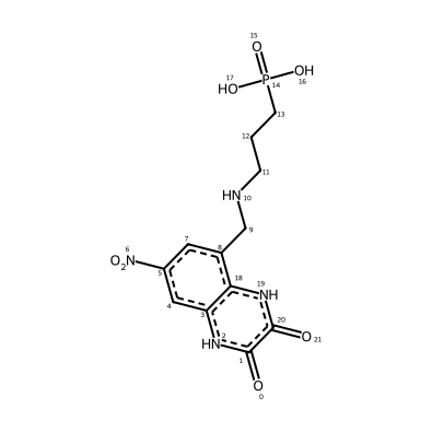 O=c1[nH]c2cc([N+](=O)[O-])cc(CNCCCP(=O)(O)O)c2[nH]c1=O